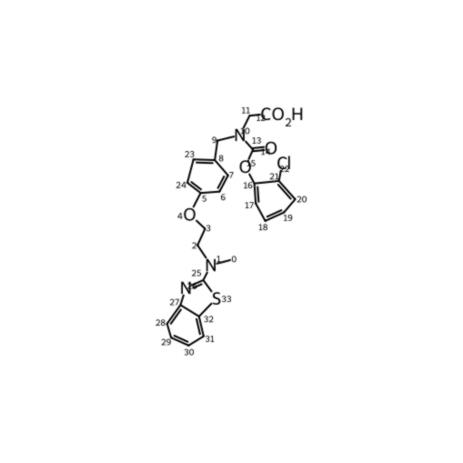 CN(CCOc1ccc(CN(CC(=O)O)C(=O)Oc2ccccc2Cl)cc1)c1nc2ccccc2s1